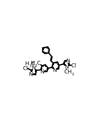 Cc1cc(-c2ncc(-c3cnc(Cl)n3C)cc2/C=C/c2ccccc2)cnc1-c1cnc(Cl)n1C